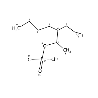 CCCCC(CC)C(C)OP(=O)(Cl)Cl